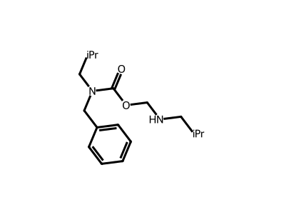 CC(C)CNCOC(=O)N(Cc1ccccc1)CC(C)C